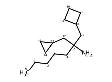 CCCCCC(N)(CC1CCC1)CC1CC1